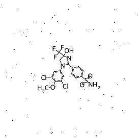 COc1c(Cl)cc(N2CC(O)(C(F)(F)F)N=C2c2ccc(S(N)(=O)=O)cc2)cc1Cl